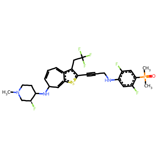 CN1CCC(NC2C=CC=c3c(CC(F)(F)F)c(C#CCNc4cc(F)c(P(C)(C)=O)cc4F)sc3=C2)[C@@H](F)C1